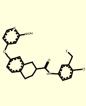 CC(=O)Nc1cc(Oc2ccc3c(c2)CC(C(=O)Nc2ccc(Cl)c(CF)c2)CC3)ccn1